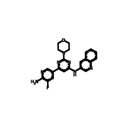 Nc1ncc(-c2cc(Nc3cnc4ccccc4c3)nc(N3CCOCC3)n2)cc1F